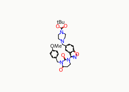 COc1ccc(CN2C(=O)CCN(c3noc4ccc(CN5CCN(C(=O)OC(C)(C)C)CC5)cc34)C2=O)cc1